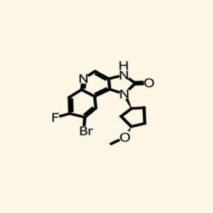 CO[C@H]1CC[C@H](n2c(=O)[nH]c3cnc4cc(F)c(Br)cc4c32)C1